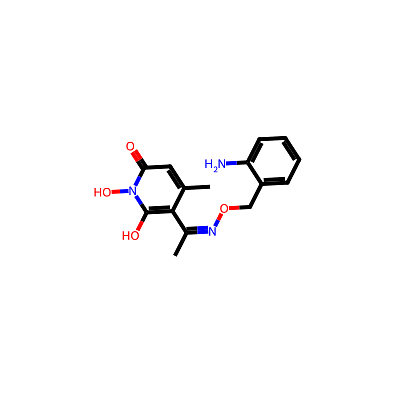 CC(=NOCc1ccccc1N)c1c(C)cc(=O)n(O)c1O